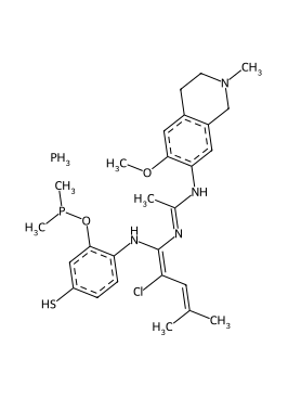 COc1cc2c(cc1N/C(C)=N/C(Nc1ccc(S)cc1OP(C)C)=C(/Cl)C=C(C)C)CN(C)CC2.P